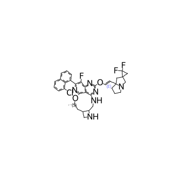 C[C@H]1CC2CNC2CNc2nc(O/C=C/C34CCCN3CC3(C4)CC3(F)F)nc3c(F)c(-c4cccc5cccc(Cl)c45)nc(c23)O1